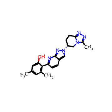 Cc1cc(C(F)(F)F)cc(O)c1-c1ccc2cn([C@@H]3CCc4nnc(C)n4C3)nc2n1